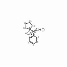 N#CC1(N(C=O)c2ccccc2)CCCC1